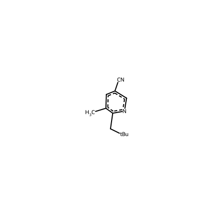 Cc1cc(C#N)cnc1CC(C)(C)C